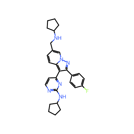 Fc1ccc(-c2nn3cc(CNC4CCCC4)ccc3c2-c2ccnc(NC3CCCC3)n2)cc1